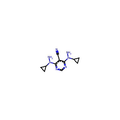 N#Cc1c(N(N)C2CC2)ncnc1N(N)C1CC1